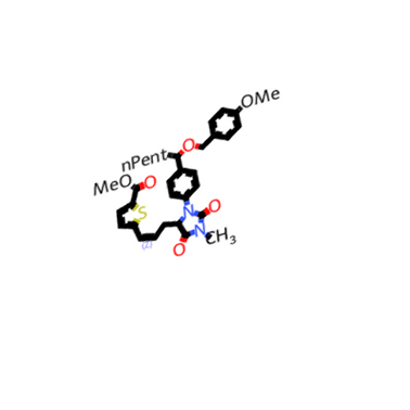 CCCCCC(OCc1ccc(OC)cc1)c1ccc(N2C(=O)N(C)C(=O)C2C/C=C\c2ccc(C(=O)OC)s2)cc1